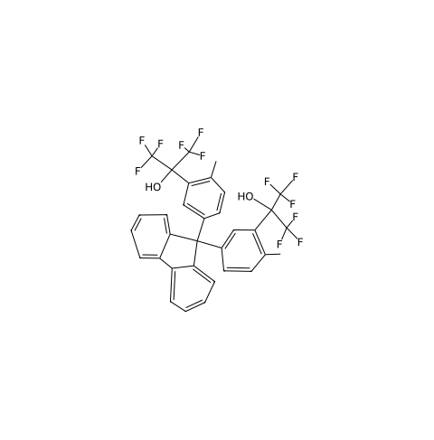 Cc1ccc(C2(c3ccc(C)c(C(O)(C(F)(F)F)C(F)(F)F)c3)c3ccccc3-c3ccccc32)cc1C(O)(C(F)(F)F)C(F)(F)F